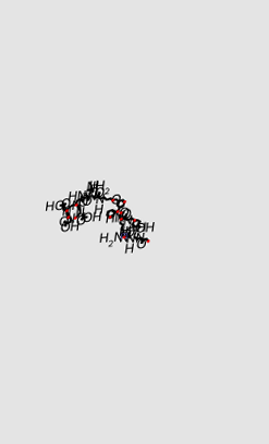 CCC(=O)NCCNC(=O)/N=C(/N)NCCC[C@@H](NC(=O)[C@H](c1ccccc1)c1cccc(OCCCCNC(=O)CNC(=O)[C@@H](CC(N)=O)NC(=O)CN2CCN(CC(=O)O)CCN(CC(=O)O)CCN(CC(=O)O)CC2)c1)C(=O)NCc1ccc(O)cc1